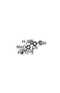 COc1cc(-c2c3c(C#N)cc(-c4cc[nH]n4)cc3nn2C)cc(OC(F)F)c1C(=O)N[C@@H]1C[C@@H]1F